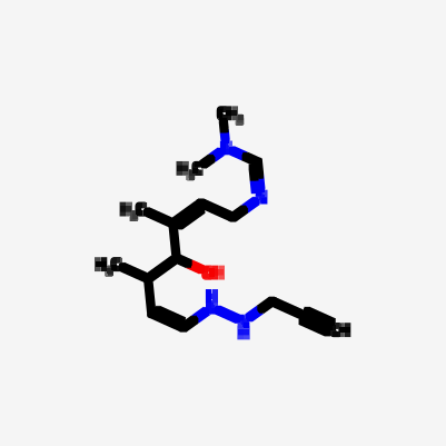 C#CCNN/C=C\C(C)C(O)/C(C)=C\C/N=C\N(C)C